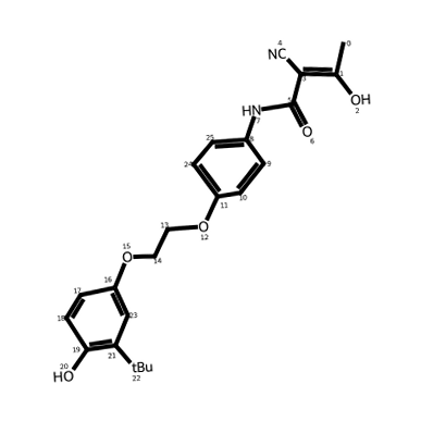 C/C(O)=C(\C#N)C(=O)Nc1ccc(OCCOc2ccc(O)c(C(C)(C)C)c2)cc1